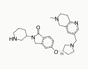 CN1CCc2ncc(CN3CC[C@H](Oc4ccc5c(c4)CN(C4CCCNC4)C5=O)C3)cc2C1